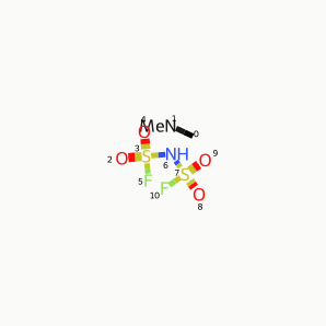 CNC.O=S(=O)(F)NS(=O)(=O)F